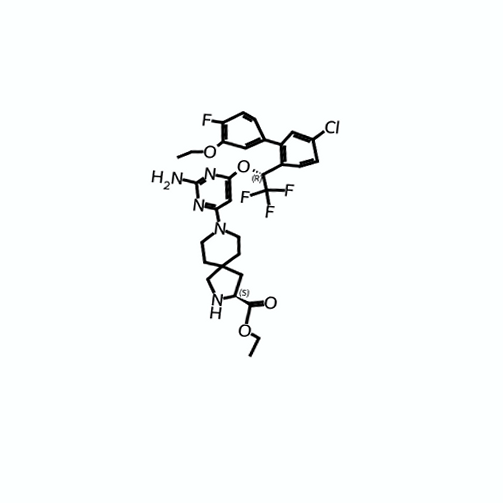 CCOC(=O)[C@@H]1CC2(CCN(c3cc(O[C@H](c4ccc(Cl)cc4-c4ccc(F)c(OCC)c4)C(F)(F)F)nc(N)n3)CC2)CN1